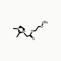 CCCCOCCOC(=O)C[n+]1ccn(C)c1C